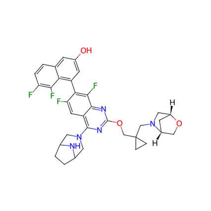 Oc1cc(-c2c(F)cc3c(N4CC5CCC(C4)N5)nc(OCC4(CN5C[C@H]6C[C@@H]5CO6)CC4)nc3c2F)c2c(F)c(F)ccc2c1